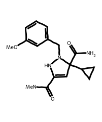 CNC(=O)C1=CC(C(N)=O)(C2CC2)N(Cc2cccc(OC)c2)N1